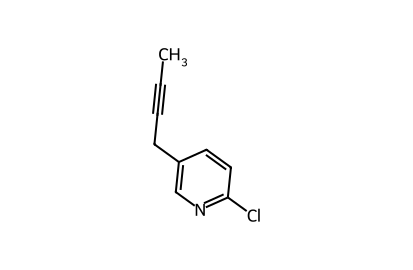 CC#CCc1ccc(Cl)nc1